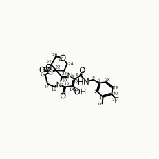 Cc1cc(CNC(=O)c2nc3n(c(=O)c2O)CCCS(=O)(=O)C32CCOCC2)ccc1F